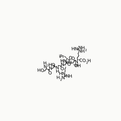 CC(C)C[C@H](NC(=O)[C@H](CCCNC(=N)N)NC(=O)CNC(=O)CNC(=O)[C@@H](N)CO)C(=O)N[C@@H](CO)C(=O)N[C@@H](CCCNC(=N)N)C(=O)O